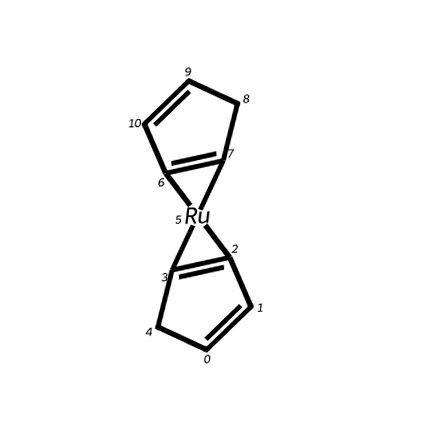 C1=C[C]2=[C](C1)[Ru]21[C]2=[C]1CC=C2